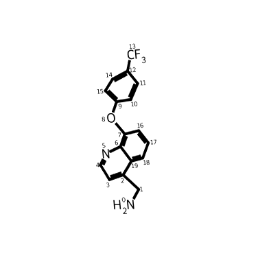 NCc1ccnc2c(Oc3ccc(C(F)(F)F)cc3)cccc12